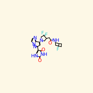 O=C(CC1CN(c2cc(-c3c[nH]c(=O)[nH]c3=O)nn3ccnc23)CC1(F)F)NC1CC2(F)CCC12